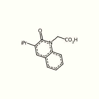 CC(C)c1cc2ccccc2n(CC(=O)O)c1=O